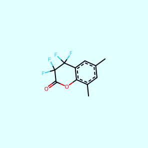 Cc1cc(C)c2c(c1)C(F)(F)C(F)(F)C(=O)O2